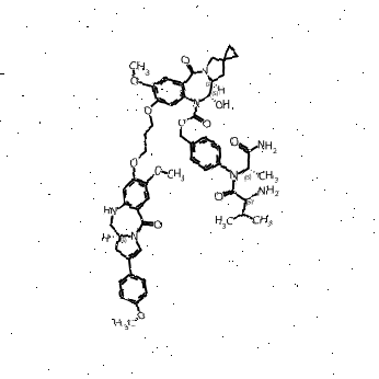 COc1ccc(C2=CN3C(=O)c4cc(OC)c(OCCCOc5cc6c(cc5OC)C(=O)N5CC7(CC7)C[C@H]5[C@H](O)N6C(=O)OCc5ccc(N(C(=O)[C@@H](N)C(C)C)[C@@H](C)C(N)=O)cc5)cc4NC[C@@H]3C2)cc1